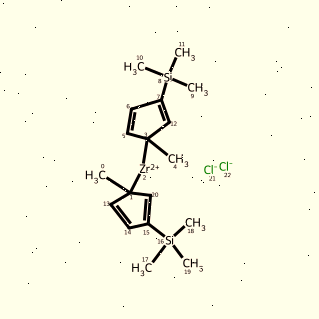 C[C]1([Zr+2][C]2(C)C=CC([Si](C)(C)C)=C2)C=CC([Si](C)(C)C)=C1.[Cl-].[Cl-]